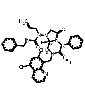 C=CCN(C(=O)NCc1ccccc1)N1CC(=O)N2[C@@H](c3ccccc3)C(=C=O)N(Cc3c(C)cc(Cl)c4cccnc34)C[C@@H]21